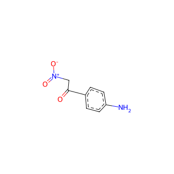 Nc1ccc(C(=O)C[N+](=O)[O-])cc1